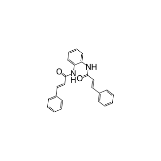 O=C(C=Cc1ccccc1)Nc1ccccc1NC(=O)C=Cc1ccccc1